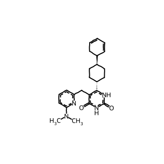 CN(C)c1cccc(Cc2c(=O)[nH]c(=O)[nH]c2[C@H]2CC[C@H](C3C=CC=CC3)CC2)n1